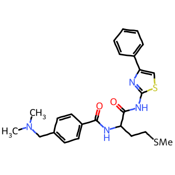 CSCCC(NC(=O)c1ccc(CN(C)C)cc1)C(=O)Nc1nc(-c2ccccc2)cs1